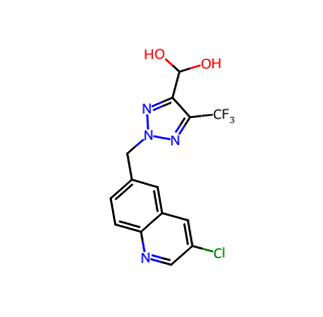 OC(O)c1nn(Cc2ccc3ncc(Cl)cc3c2)nc1C(F)(F)F